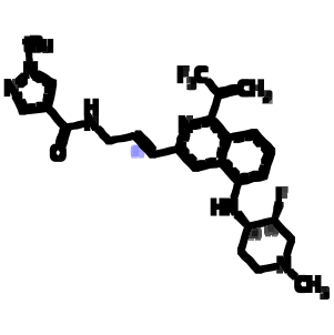 C=C(c1nc(/C=C/CNC(=O)c2cnn(C(C)(C)C)c2)cc2c(N[C@@H]3CCN(C)C[C@@H]3F)cccc12)C(F)(F)F